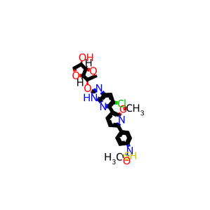 COc1nc(-c2ccc(/N=[SH](\C)=O)cc2)ccc1-c1nc2[nH]c(O[C@@H]3CO[C@H]4[C@@H]3OC[C@H]4O)nc2cc1Cl